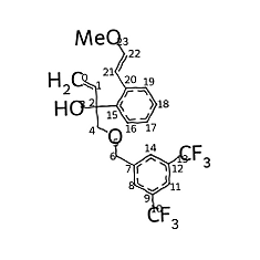 C=CC(O)(COCc1cc(C(F)(F)F)cc(C(F)(F)F)c1)c1ccccc1C=COC